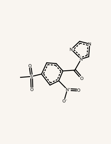 CS(=O)(=O)c1ccc(C(=O)n2cncn2)c([N+](=O)[O-])c1